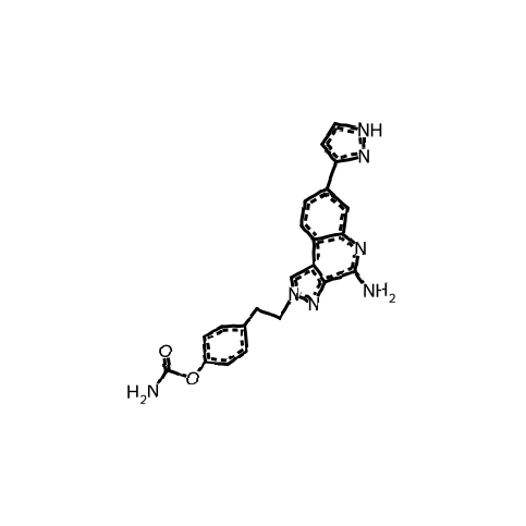 NC(=O)Oc1ccc(CCn2cc3c(n2)c(N)nc2cc(-c4cc[nH]n4)ccc23)cc1